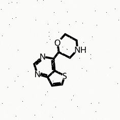 c1nc(C2CNCCO2)c2sccc2n1